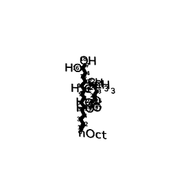 CCCCCCCCC=CCCCCCCCCCCCCC(O)CO.C[N+](C)(C)CCOP(=O)(O)O